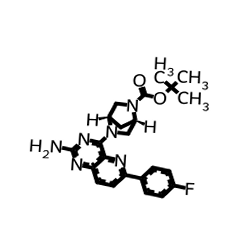 CC(C)(C)OC(=O)N1C[C@@H]2C[C@H]1CN2c1nc(N)nc2ccc(-c3ccc(F)cc3)nc12